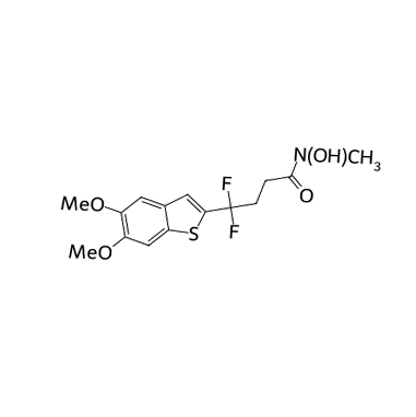 COc1cc2cc(C(F)(F)CCC(=O)N(C)O)sc2cc1OC